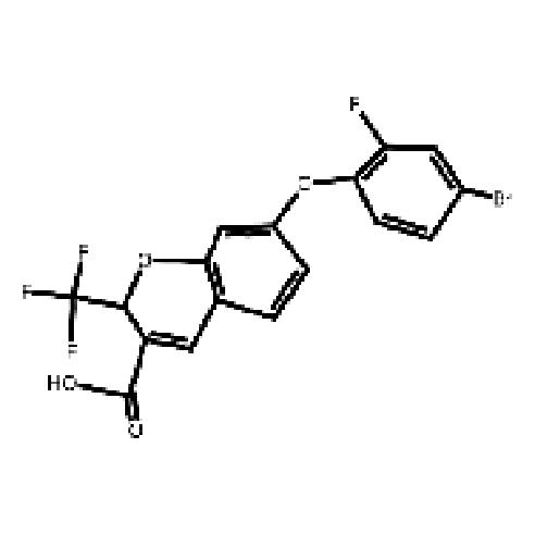 O=C(O)C1=Cc2ccc(Oc3ccc(Br)cc3F)cc2OC1C(F)(F)F